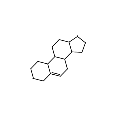 [CH]1CCC2C(=CCC3C4CC[CH]C4CCC23)C1